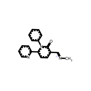 C/N=C/c1ccc(-c2ccccn2)n(-c2ccccc2)c1=O